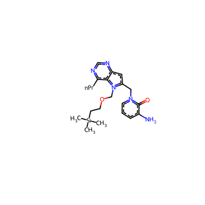 CCCc1ncnc2cc(Cn3cccc(N)c3=O)n(COCC[Si](C)(C)C)c12